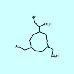 CC(=O)CC(C(=O)O)N1CCN(CC(C)=O)CCN(CC(=O)O)CC1